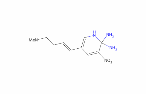 CNCCC=CC1=CNC(N)(N)C([N+](=O)[O-])=C1